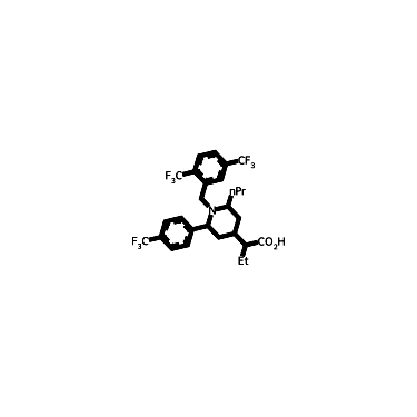 CCCC1CC(C(CC)C(=O)O)CC(c2ccc(C(F)(F)F)cc2)N1Cc1cc(C(F)(F)F)ccc1C(F)(F)F